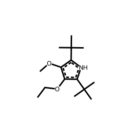 CCOc1c(C(C)(C)C)[nH]c(C(C)(C)C)c1OC